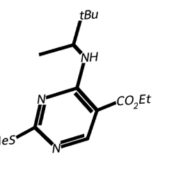 CCOC(=O)c1cnc(SC)nc1NC(C)C(C)(C)C